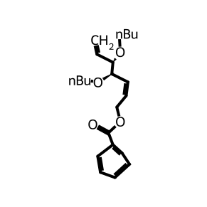 C=C[C@H](OCCCC)[C@@H](/C=C\COC(=O)c1ccccc1)OCCCC